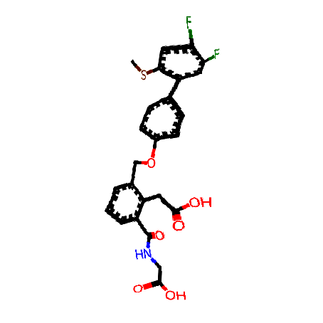 CSc1cc(F)c(F)cc1-c1ccc(OCc2cccc(C(=O)NCC(=O)O)c2CC(=O)O)cc1